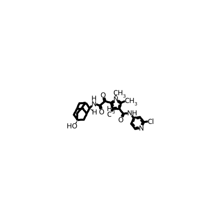 Cc1c(C(=O)Nc2ccnc(Cl)c2)c(C)n(C)c1C(=O)C(=O)N[C@H]1C2CC3CC1C[C@](O)(C3)C2